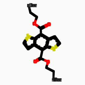 CCCCCCCCCCCCOC(=O)c1c2ccsc2c(C(=O)OCCCCCCCCCCCC)c2ccsc12